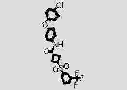 O=C(Nc1ccc(Oc2ccc(Cl)cc2)cc1)[C@H]1C[C@H](S(=O)(=O)c2cccc(C(F)(F)F)c2)C1